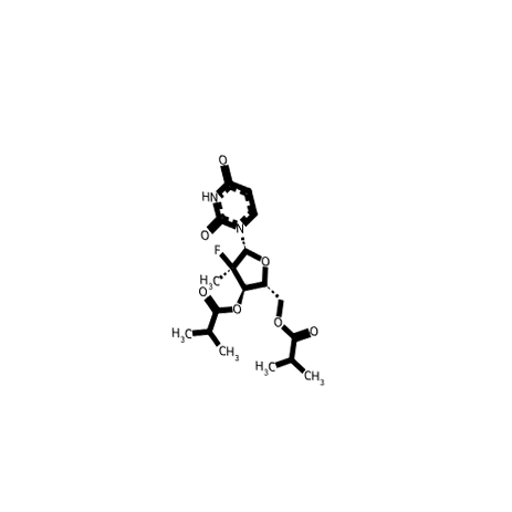 CC(C)C(=O)OC[C@H]1O[C@@H](n2ccc(=O)[nH]c2=O)[C@](C)(F)[C@@H]1OC(=O)C(C)C